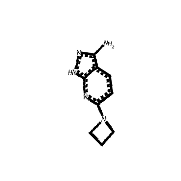 Nc1n[nH]c2nc(N3CCC3)ccc12